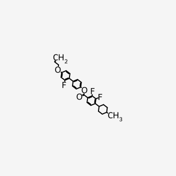 C=CCOc1ccc(-c2ccc(OC(=O)c3ccc(C4CCC(C)CC4)c(F)c3F)cc2)c(F)c1